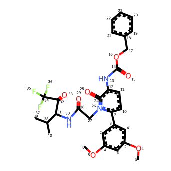 COc1cc(OC)cc(-c2ccc(NC(=O)OCc3ccccc3)c(=O)n2CC(=O)NC(C(=O)C(F)(F)F)C(C)C)c1